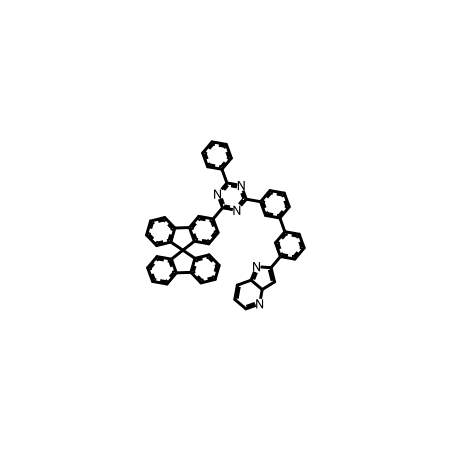 C1=CC2=NC(c3cccc(-c4cccc(-c5nc(-c6ccccc6)nc(-c6ccc7c(c6)-c6ccccc6C76c7ccccc7-c7ccccc76)n5)c4)c3)=CC2N=C1